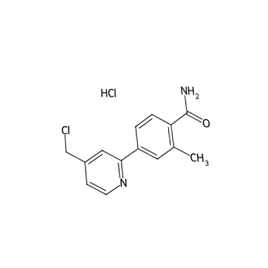 Cc1cc(-c2cc(CCl)ccn2)ccc1C(N)=O.Cl